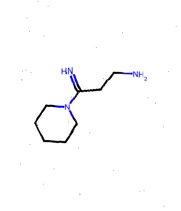 N=C(CCN)N1CCCCC1